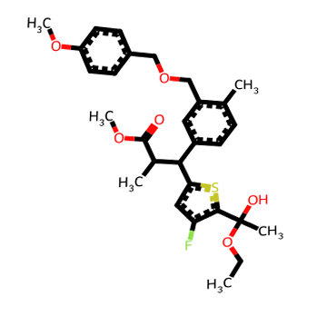 CCOC(C)(O)c1sc(C(c2ccc(C)c(COCc3ccc(OC)cc3)c2)C(C)C(=O)OC)cc1F